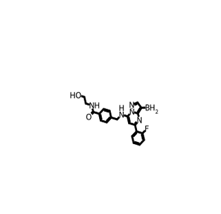 Bc1cnn2c(NCc3ccc(C(=O)NCCO)cc3)cc(-c3ccccc3F)nc12